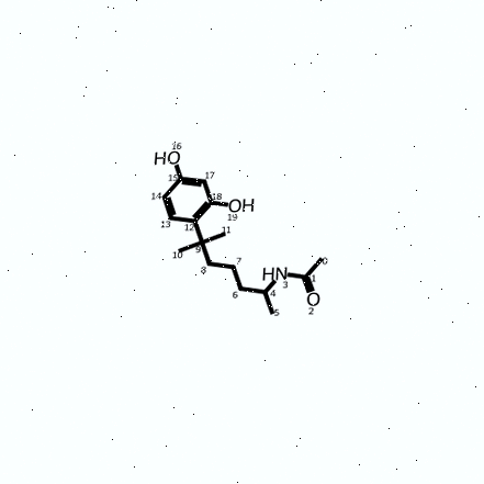 CC(=O)NC(C)CCCC(C)(C)c1ccc(O)cc1O